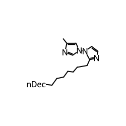 CCCCCCCCCCCCCCCCCc1nccn1-n1cnc(C)c1